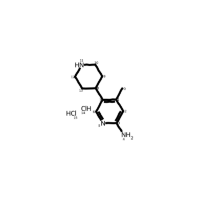 Cc1cc(N)ncc1C1CCNCC1.Cl.Cl